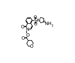 N[C@H]1CCN(S(=O)(=O)c2cccc3c(=O)n(COC(=O)C4CCOCC4)ccc23)C1